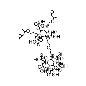 COCC(C)OCCO[C@@H]1[C@@H](OP(=O)(O)O)[C@H](OCCOC(C)COC)[C@@H](OP(=O)(O)O)[C@@H](OCCOCCO[C@H]2[C@@H](OP(=O)(O)O)[C@H](OP(=O)(O)O)[C@@H](OP(=O)(O)O)[C@H](OP(=O)(O)O)[C@H]2OP(=O)(O)O)[C@H]1OP(=O)(O)O